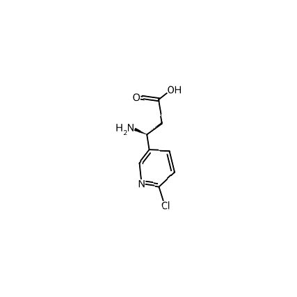 N[C@@H](CC(=O)O)c1ccc(Cl)nc1